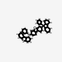 c1ccc(N(c2ccc3c(c2)oc2cc(C4(c5ccccc5)c5ccccc5-c5ccccc54)ccc23)c2cccc3sc4ccccc4c23)cc1